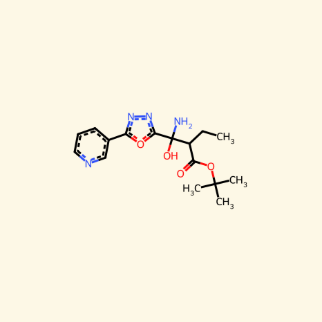 CCC(C(=O)OC(C)(C)C)C(N)(O)c1nnc(-c2cccnc2)o1